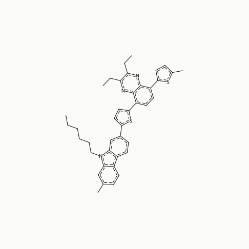 CCCCCCn1c2cc(C)ccc2c2ccc(-c3ccc(-c4ccc(-c5ccc(C)s5)c5nc(CC)c(CC)nc45)s3)cc21